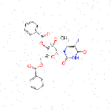 CO[C@@H]1[C@H](OC(=O)c2ccccc2)[C@@H](COC(=O)c2ccccc2)O[C@H]1n1cc(I)c(=O)[nH]c1=O